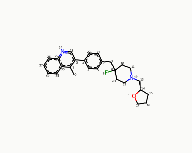 Cc1c(-c2ccc(CC3(F)CCN(C[C@H]4CCCO4)CC3)cc2)cnc2ccccc12